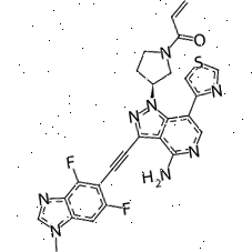 C=CC(=O)N1CC[C@H](n2nc(C#Cc3c(F)cc4c(ncn4C)c3F)c3c(N)ncc(-c4cscn4)c32)C1